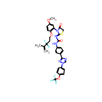 C=C(C)C(F)(F)CCOc1ccc(OC)cc1N1C(=O)CS/C1=N\C(=O)Nc1ccc(-c2ncn(-c3ccc(OC(F)(F)F)cc3)n2)cc1